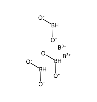 [B+3].[B+3].[O-]B[O-].[O-]B[O-].[O-]B[O-]